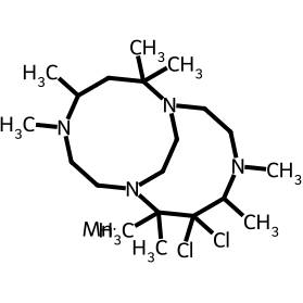 CC1CC(C)(C)N2CCN(C)C(C)C(Cl)(Cl)C(C)(C)N(CCN1C)CC2.[Mn]